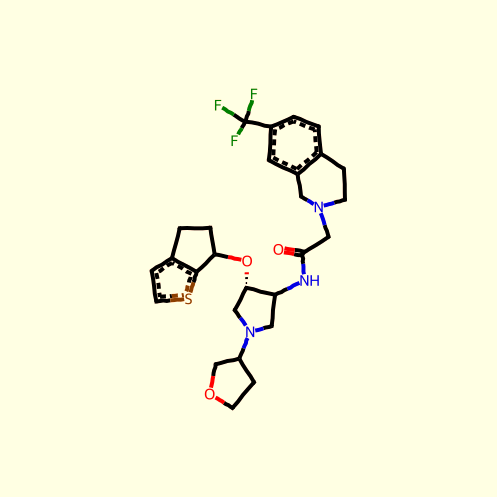 O=C(CN1CCc2ccc(C(F)(F)F)cc2C1)NC1CN(C2CCOC2)C[C@@H]1OC1CCc2ccsc21